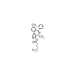 CCCCC(=O)Oc1ncn2c1C(C)N=C(c1ccccc1)c1cc(C)ccc1-2